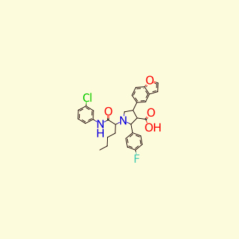 CCCCC(C(=O)Nc1cccc(Cl)c1)N1CC(c2ccc3occc3c2)C(C(=O)O)C1c1ccc(F)cc1